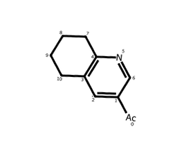 CC(=O)c1[c]c2c(nc1)CCCC2